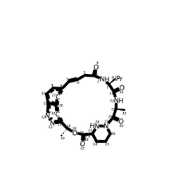 CC(C)[C@@H]1NC(=O)C/C=C/c2ccc3nnc(cc3c2)[C@@H](C)OC(=O)[C@@H]2CCCN(N2)C(=O)[C@H](C)NC1=O